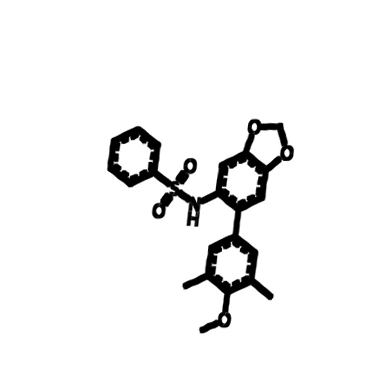 COc1c(C)cc(-c2cc3c(cc2NS(=O)(=O)c2ccccc2)OCO3)cc1C